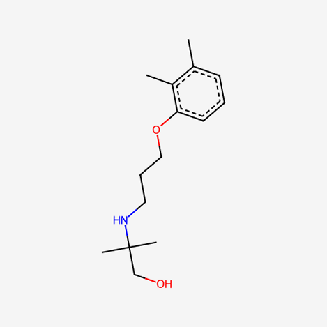 Cc1cccc(OCCCNC(C)(C)CO)c1C